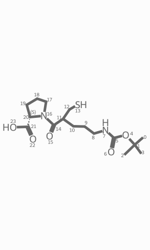 CC(C)(C)OC(=O)NCCCC(CS)C(=O)N1CCC[C@H]1C(=O)O